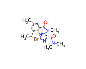 Cc1cc(C(C)Br)c2c(c1)c(=O)n(C)c1c(C(=O)N(C)C)ncn21